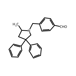 CC1CC(c2ccccc2)(c2ccccc2)CN1Cc1ccc(C=O)cc1